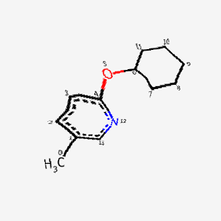 Cc1ccc(OC2CCCCC2)nc1